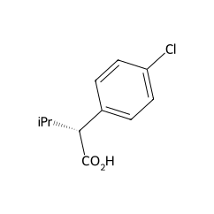 CC(C)[C@@H](C(=O)O)c1ccc(Cl)cc1